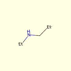 C[CH]CNCC